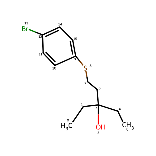 CCC(O)(CC)CCSc1ccc(Br)cc1